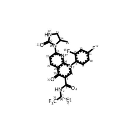 CC[C@@H](NC(=O)c1cn(-c2ccc(F)cc2F)c2nc(N3C(=O)NCC3C)ccc2c1=O)C(F)(F)F